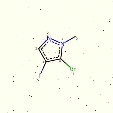 Cn1ncc(I)c1Br